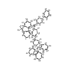 CC1(C)c2ccccc2-c2c(N(c3ccc(-c4ccccc4)cc3)c3ccc(-c4ccc5c(c4)-c4ccccc4C5(c4ccccc4)c4ccccc4)cc3)cccc21